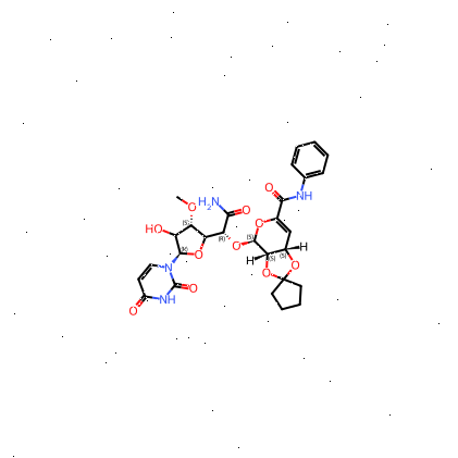 CO[C@H]1C(O)[C@H](n2ccc(=O)[nH]c2=O)OC1[C@@H](O[C@H]1OC(C(=O)Nc2ccccc2)=C[C@@H]2OC3(CCCC3)O[C@H]12)C(N)=O